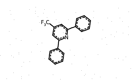 FC(F)(F)c1cc(-c2ccccc2)nc(-c2ccccc2)c1